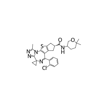 Cc1nnc2n1-c1sc3c(c1C(c1ccccc1Cl)=NC21CC1)C[C@H](C(=O)NC1CCC(C)(C)OC1)C3